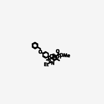 CCC1=Nc2c(sc(C(=O)OC)c2C)[N+]1(C)C1(C(=O)O)C=CC(OCc2ccccc2)=CC1